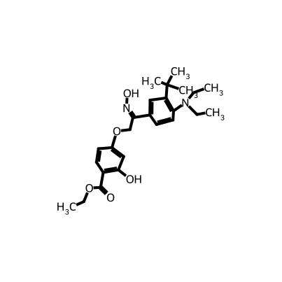 CCOC(=O)c1ccc(OCC(=NO)c2ccc(N(CC)CC)c(C(C)(C)C)c2)cc1O